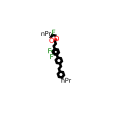 CCCC1CCC(CCC2CCC(c3ccc(CCC4OCC(F)(CCC)CO4)c(F)c3F)CC2)CC1